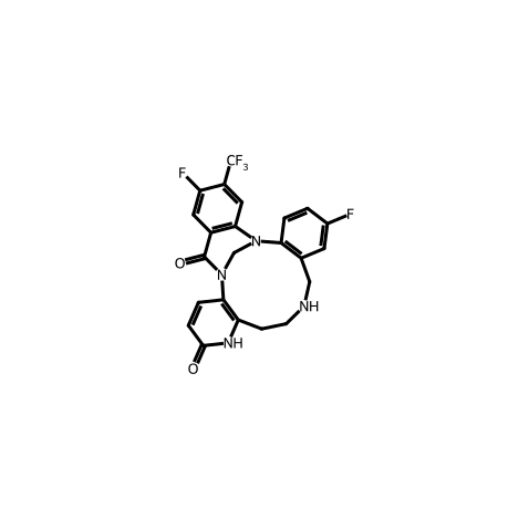 O=C1c2cc(F)c(C(F)(F)F)cc2N2CN1c1ccc(=O)[nH]c1CCNCc1cc(F)ccc12